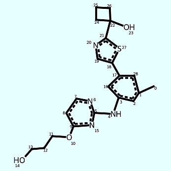 Cc1cc(Nc2nccc(OCCCO)n2)cc(-c2cnc(C3(O)CCC3)s2)c1